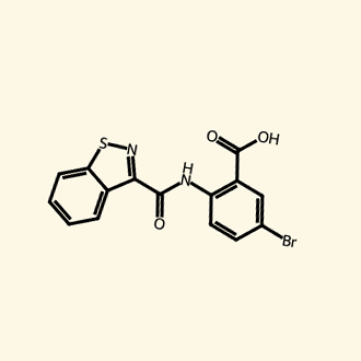 O=C(O)c1cc(Br)ccc1NC(=O)c1nsc2ccccc12